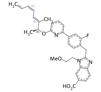 C=C/C=C\C=C(/C)[C@H](C)Oc1cccc(-c2ccc(Cc3nc4ccc(C(=O)O)cc4n3CCOC)c(F)c2)n1